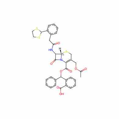 CC(=O)OCC1=C(C(=O)OC(c2ccccc2)c2ccccc2C(=O)O)N2C(=O)C(NC(=O)Cc3ccccc3C3SCCS3)[C@@H]2SC1